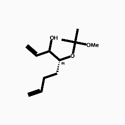 C=CCC[C@@H](OC(C)(C)OC)C(O)C=C